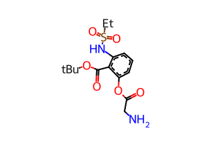 CCS(=O)(=O)Nc1cccc(OC(=O)CN)c1C(=O)OC(C)(C)C